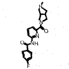 CN1CC2CN(C(=O)c3cccc(NC(=O)c4ccc(F)cc4)n3)CC2C1